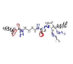 C/C=C/N=C1\C(=C(/N)NC)C=CN1C(=O)NCCCCNC(=O)OC(C)(C)C